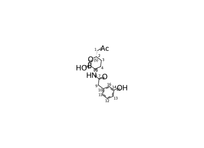 CC(=O)C[C@@H]1CC[C@H](NC(=O)Cc2cccc(O)c2)B(O)O1